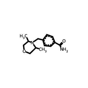 CC1COCC(C)N1Cc1ccc(C(N)=O)cc1